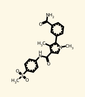 Cc1c(C(=O)Nc2ccc(S(C)(=O)=O)cc2)cn(C)c1-c1cccc(C(N)=O)c1